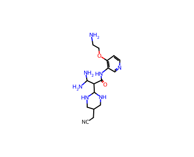 N#CCC1CNC(C(C(=O)Nc2cnccc2OCCN)C(N)N)NC1